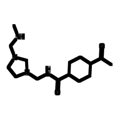 CNCN1CCN(CNC(=O)C2CCC(C(C)=O)CC2)C1